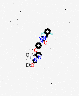 CCOC1CN(c2nccc(Oc3ccc(-n4ncn(Cc5c(F)cccc5F)c4=O)cc3)c2[N+](=O)[O-])C1